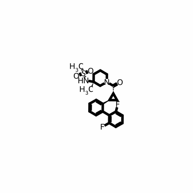 C[C@]1(NS(C)(=O)=O)CCCN(C(=O)[C@@H]2C[C@H]2c2ccccc2-c2c(F)cccc2F)C1